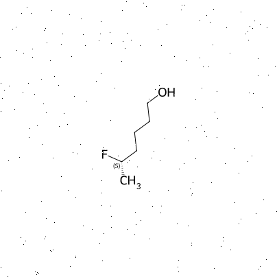 C[C@H](F)CCCCO